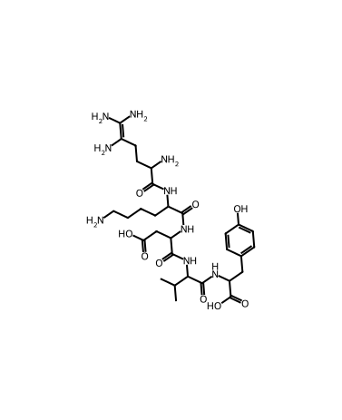 CC(C)C(NC(=O)C(CC(=O)O)NC(=O)C(CCCCN)NC(=O)C(N)CCC(N)=C(N)N)C(=O)NC(Cc1ccc(O)cc1)C(=O)O